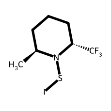 C[C@H]1CCC[C@H](C(F)(F)F)N1SI